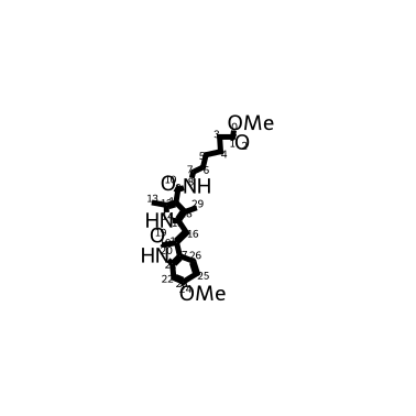 COC(=O)CCCCCNC(=O)c1c(C)[nH]c(/C=C2\C(=O)Nc3cc(OC)ccc32)c1C